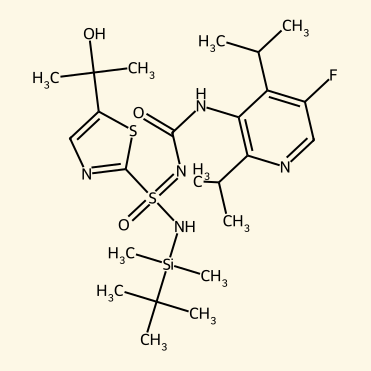 CC(C)c1ncc(F)c(C(C)C)c1NC(=O)N=S(=O)(N[Si](C)(C)C(C)(C)C)c1ncc(C(C)(C)O)s1